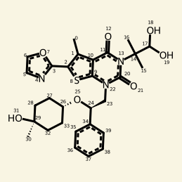 Cc1c(-c2ncco2)sc2c1c(=O)n(C(C)(C)C(O)O)c(=O)n2C[C@H](O[C@H]1CC[C@](C)(O)CC1)c1ccccc1